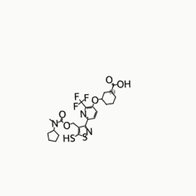 CN(C(=O)OCc1c(-c2ccc(OC3CCC[C@H](C(=O)O)C3)c(C(F)(F)F)n2)nsc1S)C1CCCC1